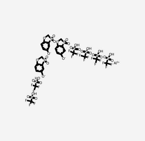 O=S(=O)(O)C(F)(F)F.O=S(=O)(O)C(F)(F)F.O=S(=O)(O)C(F)(F)F.O=S(=O)(O)C(F)(F)F.O=S(=O)(O)C(F)(F)F.O=S(=O)(O)C(F)(F)F.O=S1(=O)COc2ccc([O-])cc21.O=S1(=O)COc2ccc([O-])cc21.O=S1(=O)COc2ccc([O-])cc21.[Al+3]